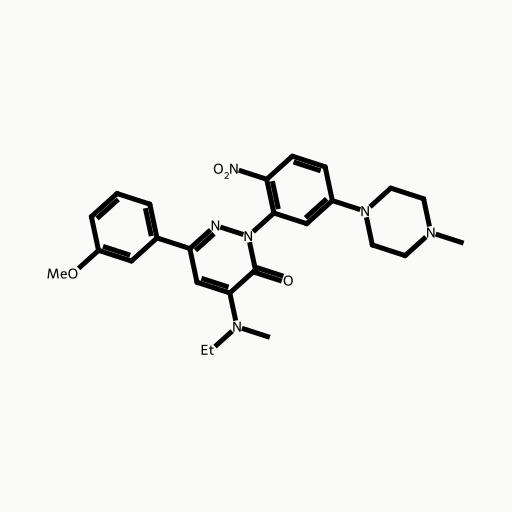 CCN(C)c1cc(-c2cccc(OC)c2)nn(-c2cc(N3CCN(C)CC3)ccc2[N+](=O)[O-])c1=O